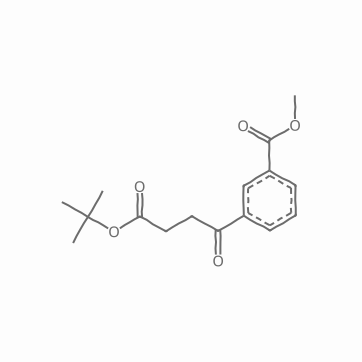 COC(=O)c1cccc(C(=O)CCC(=O)OC(C)(C)C)c1